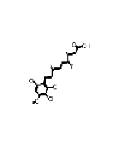 COc1cc(Cl)c(/C=C/C(C)=C/C=C(F)/C(C)=C/C(=O)O)c(Cl)c1Cl